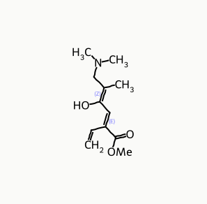 C=C/C(=C\C(O)=C(/C)CN(C)C)C(=O)OC